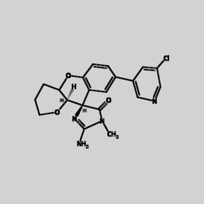 CN1C(=O)[C@@]2(N=C1N)c1cc(-c3cncc(Cl)c3)ccc1OC1CCCO[C@@H]12